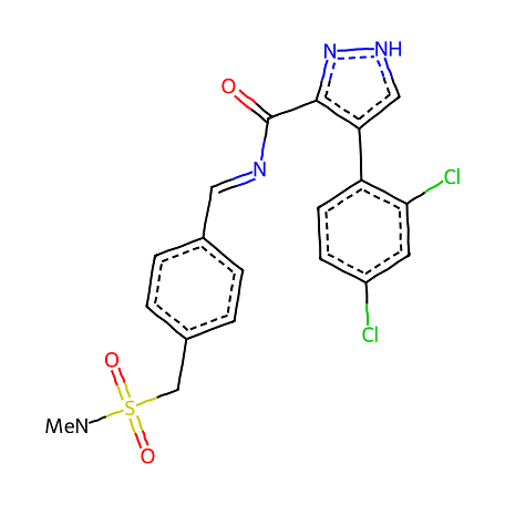 CNS(=O)(=O)Cc1ccc(C=NC(=O)c2n[nH]cc2-c2ccc(Cl)cc2Cl)cc1